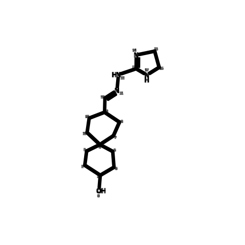 OC1CCC2(CC1)CCC(/C=N/NC1=NCCN1)CC2